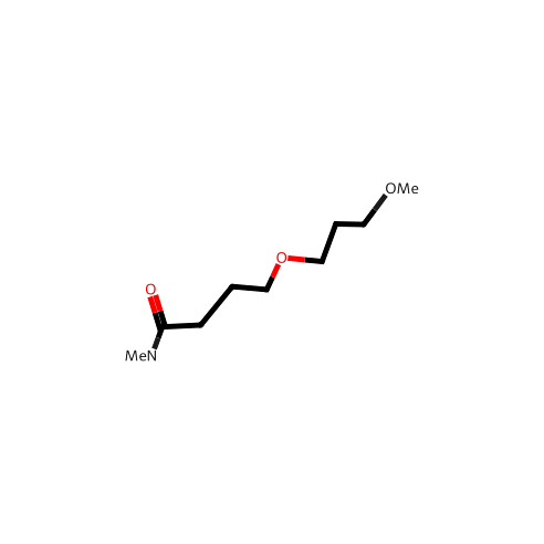 CNC(=O)CCCOCCCOC